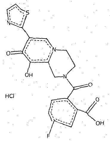 Cl.O=C(O)c1cc(F)ccc1C(=O)N1CCn2cc(-c3nccs3)c(=O)c(O)c2C1